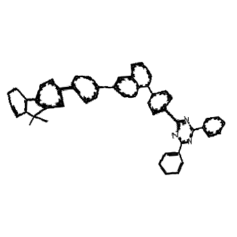 CC1(C)C2=C(CCC=C2)c2ccc(-c3ccc(-c4ccc5c(-c6ccc(-c7nc(C8=CCCC=C8)nc(-c8ccccc8)n7)cc6)cccc5c4)cc3)cc21